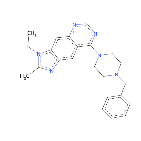 CCn1c(C)nc2cc3c(N4CCN(Cc5ccccc5)CC4)ncnc3cc21